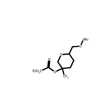 CCCCOCC1CCC(OC(=O)C(=O)OCC)(C(F)(F)F)CO1